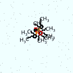 CCCCc1cccc(P(c2cccc(CCCC)c2CCCC)[C]23[CH]4[CH]5[CH]6[C]2(P(c2cccc(CCCC)c2CCCC)c2cccc(CCCC)c2CCCC)[Hf]54632789[CH]3[CH]2[CH]7[CH]8[CH]39)c1CCCC